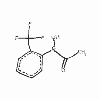 CC(=O)N(O)c1ccccc1C(F)(F)F